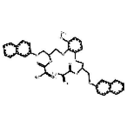 C=C(C)C(=O)OC(COc1ccc2ccccc2c1)COc1cccc(OC)c1OCC(COc1ccc2ccccc2c1)OC(=O)C(=C)C